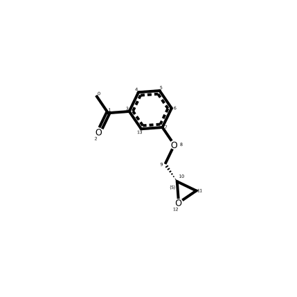 CC(=O)c1cccc(OC[C@@H]2CO2)c1